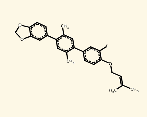 CC(C)=CCOc1ccc(-c2cc(C)c(-c3ccc4c(c3)OCO4)cc2C)cc1F